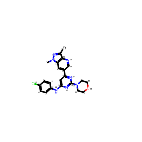 CCc1nn(C)c2cc(-c3cc(Nc4ccc(Cl)cc4)nc(N4CCOCC4)n3)cnc12